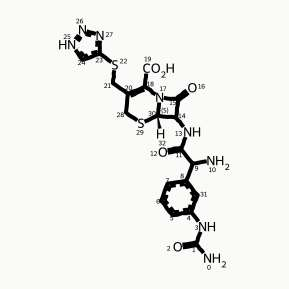 NC(=O)Nc1cccc(C(N)C(=O)NC2C(=O)N3C(C(=O)O)=C(CSc4c[nH]nn4)CS[C@@H]23)c1